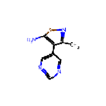 Cc1nsc(N)c1-c1cncnc1